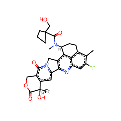 CC[C@@]1(O)C(=O)OCc2c1cc1n(c2=O)Cc2c-1nc1cc(F)c(C)c3c1c2[C@@H](N(C)C(=O)C1(CO)CCC1)CC3